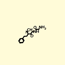 C=NC(CCc1ccccc1)C(=O)CNC(=O)CN